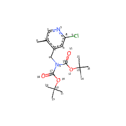 Cc1cnc(Cl)cc1CN(C(=O)OC(C)(C)C)C(=O)OC(C)(C)C